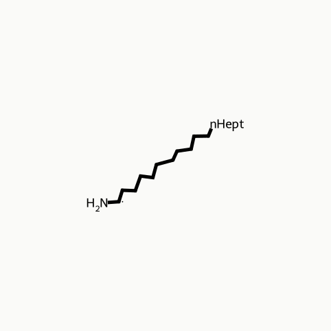 CCCCCCCCCCCCCCCCC[CH]N